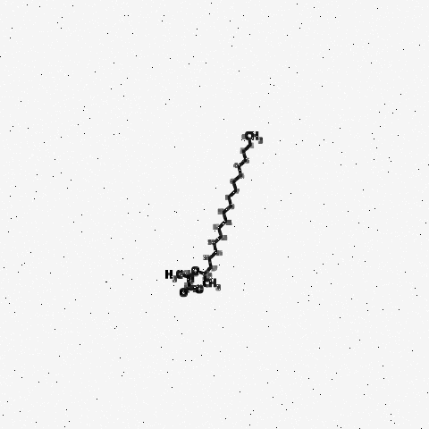 CCCCCCCCCCCCCCCCCCC(C)OC(C)[SH](=O)=O